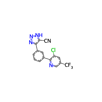 N#Cc1[nH]nnc1-c1cccc(-c2ncc(C(F)(F)F)cc2Cl)c1